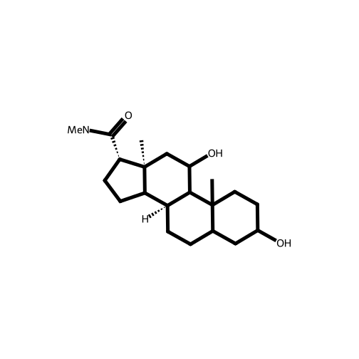 CNC(=O)[C@H]1CCC2[C@@H]3CCC4CC(O)CCC4(C)C3C(O)C[C@@]21C